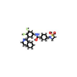 O=C(Nc1cc(F)c(F)c(-c2nccc3ccccc23)c1)c1ccc(N2CCS2(=O)=O)cc1